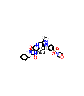 CCCCN1C(=O)[C@H](CC2CCCCC2)NC(=O)C12CCN(Cc1c(C)nn(-c3ccc(S(=O)(=O)N4CCOCC4)cc3)c1C)CC2